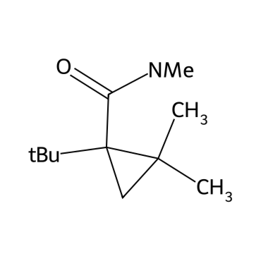 CNC(=O)C1(C(C)(C)C)CC1(C)C